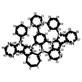 C1=CC=C2B3c4c(cc(-c5ncccn5)cc4-n4c5c3ccnc5c3c5ncccc5n(-c5ccccc5)c34)-n3c2c(c2c4nccnc4n(-c4ccccc4)c23)C=1